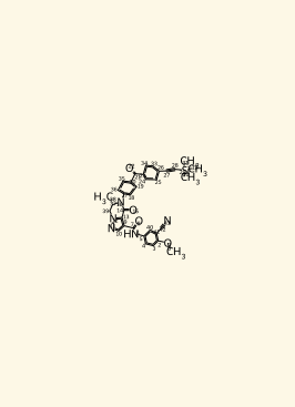 COc1ccc(NC(=O)c2cnn3c2C(=O)N(c2ccc(C(=O)c4ccc(C#C[Si](C)(C)C)cc4)cc2)[C@@H](C)C3)cc1C#N